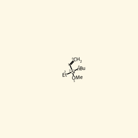 C=C[Si](CC)(CCCC)OC